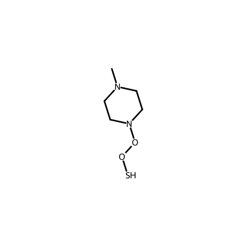 CN1CCN(OOS)CC1